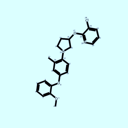 COc1ccccc1Oc1ccc(N2CCC(Oc3ncccc3Cl)C2)c(C)c1